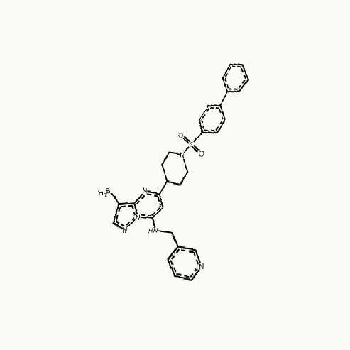 Bc1cnn2c(NCc3cccnc3)cc(C3CCN(S(=O)(=O)c4ccc(-c5ccccc5)cc4)CC3)nc12